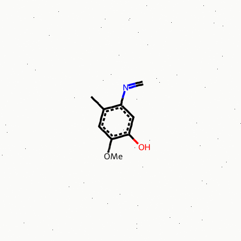 C=Nc1cc(O)c(OC)cc1C